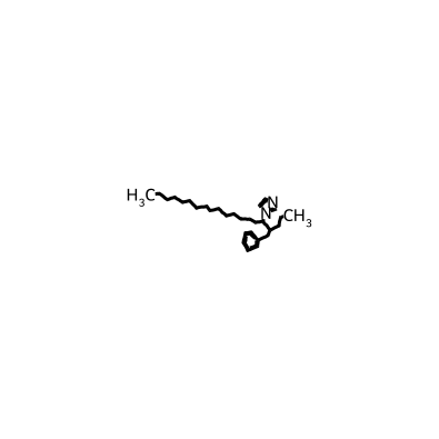 CCCCCCCCCCCCCCCC(C(CCC)Cc1ccccc1)n1ccnc1